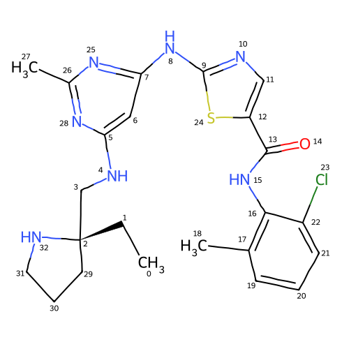 CC[C@@]1(CNc2cc(Nc3ncc(C(=O)Nc4c(C)cccc4Cl)s3)nc(C)n2)CCCN1